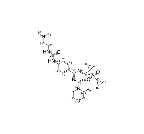 C[C@H]1COCCN1c1cc(C2(S(=O)(=O)C3CC3)CC2)nc(-c2ccc(NC(=O)NCCN(C)C)cc2)n1